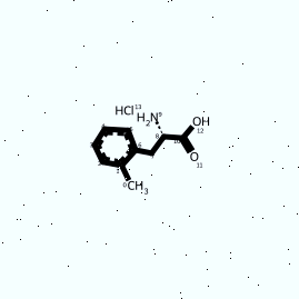 Cc1ccccc1C[C@H](N)C(=O)O.Cl